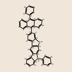 c1ccc(-c2c3ccccc3c(-c3ccc4c(c3)sc3cc5c(cc34)c3ccccc3n5-c3ccccc3)c3ccccc23)cc1